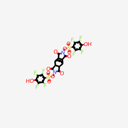 O=C1C2C3C=CC(C2C(=O)N1OS(=O)(=O)c1c(F)c(F)c(O)c(F)c1F)C1C(=O)N(OS(=O)(=O)c2c(F)c(F)c(O)c(F)c2F)C(=O)C31